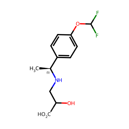 C[C@H](NCC(O)C(=O)O)c1ccc(OC(F)F)cc1